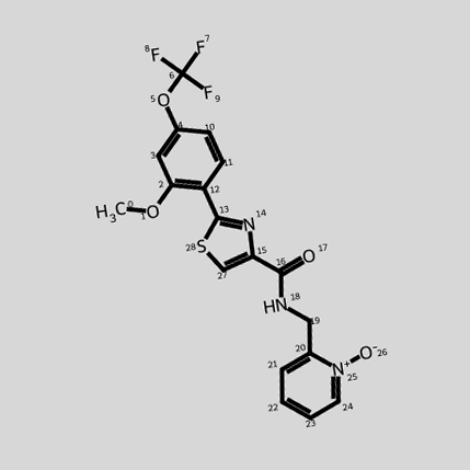 COc1cc(OC(F)(F)F)ccc1-c1nc(C(=O)NCc2cccc[n+]2[O-])cs1